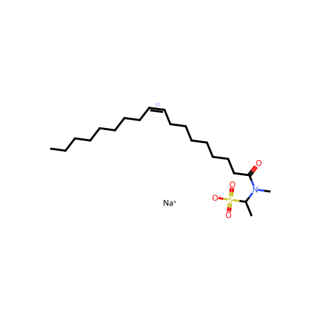 CCCCCCCC/C=C\CCCCCCCC(=O)N(C)C(C)S(=O)(=O)[O-].[Na+]